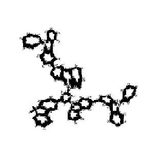 CC1(C)c2ccccc2-c2cc(-c3cc(-n4c5ccccc5c5cc(-c6ccc7c(c6)c6ccccc6n7-c6ccccc6)ccc54)nc(-n4c5ccccc5c5cc(-c6ccc7c(c6)c6ccccc6n7-c6ccccc6)ccc54)n3)ccc21